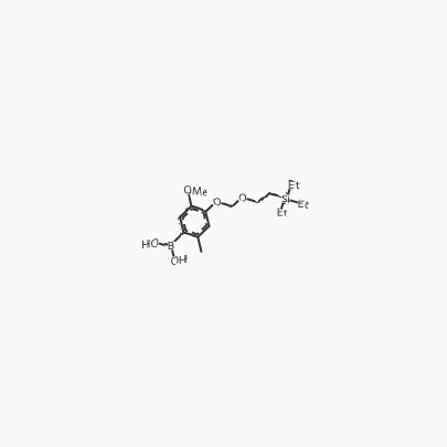 CC[Si](CC)(CC)CCOCOc1cc(C)c(B(O)O)cc1OC